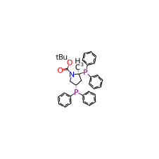 CC(C)(C)OC(=O)N1C[C@@H](P(c2ccccc2)c2ccccc2)C[C@]1(C)P(c1ccccc1)c1ccccc1